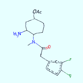 CC(=O)OC1CCC(N(C)C(=O)Cc2ccc(F)c(F)c2)C(N)C1